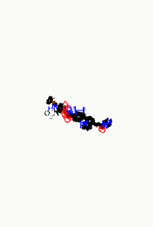 CN1CCN(C(=O)CCc2ccc(-c3ccc(C(=O)NS(=O)(=O)c4ccc(NCCSc5ccccc5)c([N+](=O)[O-])c4)cc3)c3ncccc23)CC1